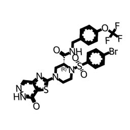 O=C(NCc1ccc(OC(F)(F)F)cc1)[C@H]1CN(c2nc3cn[nH]c(=O)c3s2)CCN1S(=O)(=O)c1ccc(Br)cc1